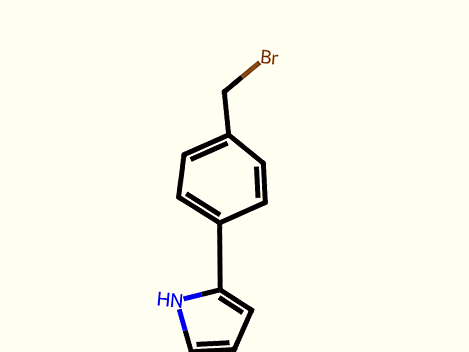 BrCc1ccc(-c2ccc[nH]2)cc1